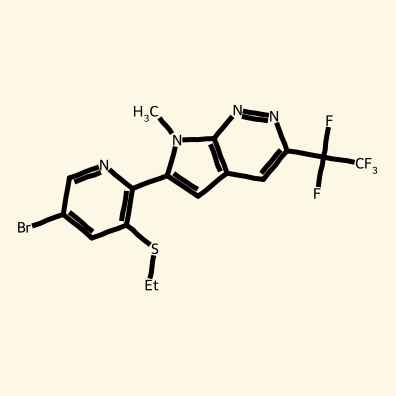 CCSc1cc(Br)cnc1-c1cc2cc(C(F)(F)C(F)(F)F)nnc2n1C